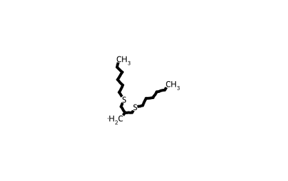 [CH2]C(CSCCCCCC)CSCCCCCC